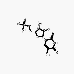 NC1=CC([C@@H]2O[C@H](COP(=O)(O)O)[C@@H](O)[C@H]2O)C(=O)NC1=O